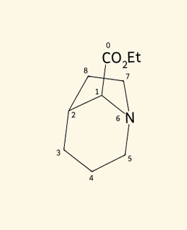 CCOC(=O)C1C2CCCN1CC2